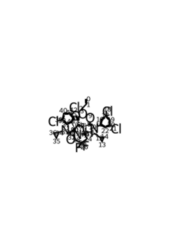 C=CCOC(=O)[C@H]1[C@@H](C(=O)N(CC2CC2)c2cc(Cl)cc(Cl)c2)[C@H]2CC(F)(F)CN2[C@]12C(=O)N(C1CC1)c1c(Cl)cc(Cl)cc12